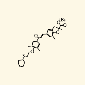 Cc1cc(C(=O)C=Cc2cc(C)c(OC(C)(C)C(=O)OC(C)(C)C)c(C)c2)cc(C)c1OCCSC1CCCCC1